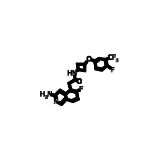 Nc1cc2c(CC(=O)NC3CC(Oc4ccc(F)c(C(F)(F)F)c4)C3)c(F)ccc2cn1